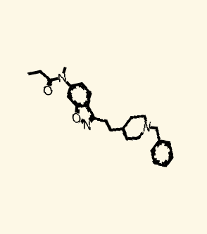 CCC(=O)N(C)c1ccc2c(CCC3CCN(Cc4ccccc4)CC3)noc2c1